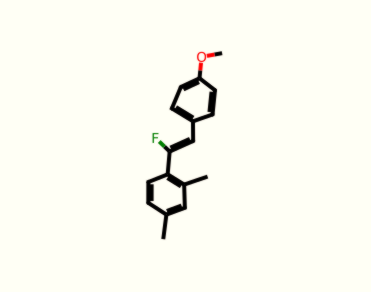 COc1ccc(C=C(F)c2ccc(C)cc2C)cc1